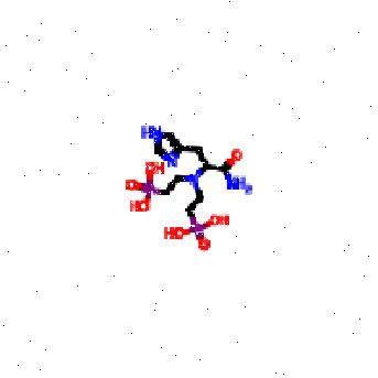 NC(=O)C(Cc1c[nH]cn1)N(CCP(=O)(O)O)CCP(=O)(O)O